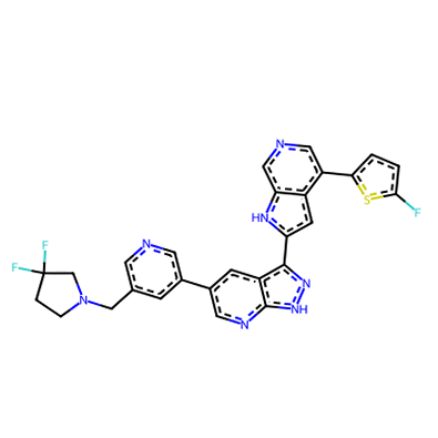 Fc1ccc(-c2cncc3[nH]c(-c4n[nH]c5ncc(-c6cncc(CN7CCC(F)(F)C7)c6)cc45)cc23)s1